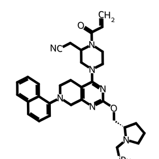 C=CC(=O)N1CCN(c2nc(OC[C@@H]3CCCN3CC(C)CC)nc3c2CCN(c2cccc4ccccc24)C3)CC1CC#N